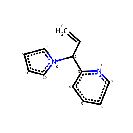 C=CC(c1ccccn1)n1cccc1